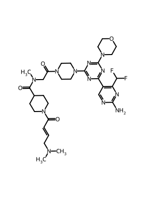 CN(C)C/C=C/C(=O)N1CCC(C(=O)N(C)CC(=O)N2CCN(c3nc(-c4cnc(N)nc4C(F)F)nc(N4CCOCC4)n3)CC2)CC1